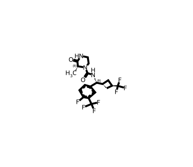 C[C@@H]1C(=O)NCCN1C(=O)N[C@@H](c1ccc(F)c(C(F)(F)F)c1)[C@H]1C[C@H](C(F)(F)F)C1